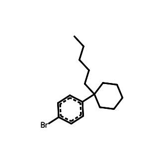 CCCCCC1(c2ccc(Br)cc2)CCCCC1